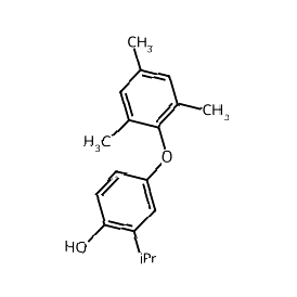 Cc1cc(C)c(Oc2ccc(O)c(C(C)C)c2)c(C)c1